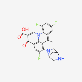 C=C(C)c1c(N2CC3CC2CN3)c(F)cc2c(=O)c(C(=O)O)cn(-c3ccc(F)cc3F)c12